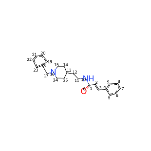 O=C(C=Cc1ccccc1)NCCC1CCN(Cc2ccccc2)CC1